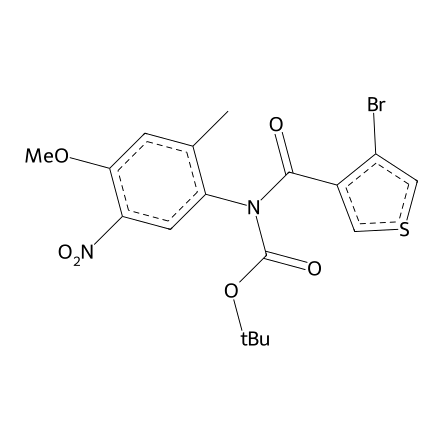 COc1cc(C)c(N(C(=O)OC(C)(C)C)C(=O)c2cscc2Br)cc1[N+](=O)[O-]